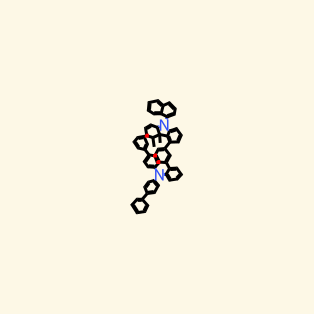 CC1CC=CC2N(c3cccc4ccccc34)c3cccc(-c4cccc(-c5ccccc5N(c5ccc(-c6ccccc6)cc5)c5ccc(-c6ccccc6)cc5)c4)c3C12C